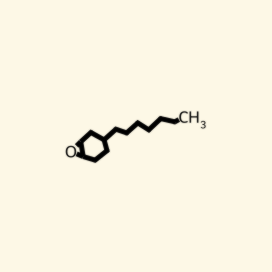 CCCCCCCC1CCC2OC2C1